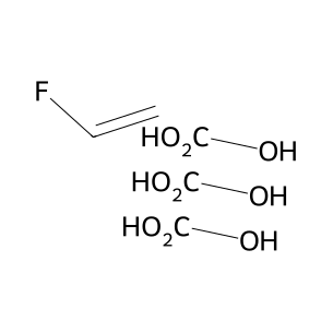 C=CF.O=C(O)O.O=C(O)O.O=C(O)O